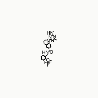 CNc1nc(C)nc(N2CCCc3cc(C(=O)NCc4ccccc4OC(F)(F)F)ccc32)n1